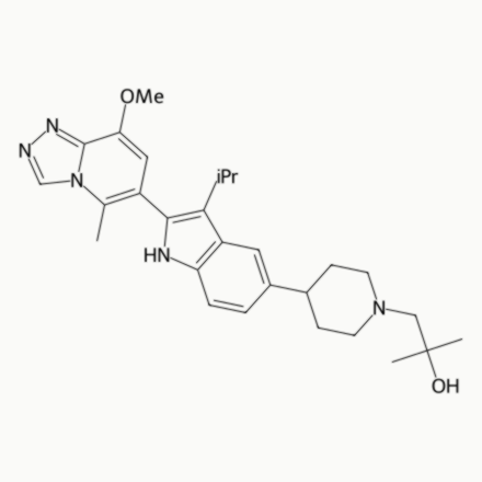 COc1cc(-c2[nH]c3ccc(C4CCN(CC(C)(C)O)CC4)cc3c2C(C)C)c(C)n2cnnc12